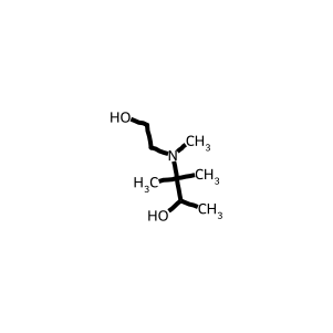 CC(O)C(C)(C)N(C)CCO